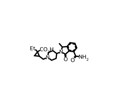 CCC1(C(=O)O)CC1CN1CCC(N2C(=O)c3c(C(N)=O)cccc3C2C)CC1